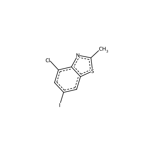 Cc1nc2c(Cl)cc(I)cc2s1